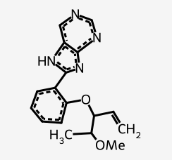 C=CC(Oc1ccccc1-c1nc2ncncc2[nH]1)C(C)OC